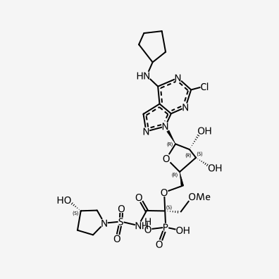 COC[C@@](OC[C@H]1O[C@@H](n2ncc3c(NC4CCCC4)nc(Cl)nc32)[C@H](O)[C@@H]1O)(C(=O)NS(=O)(=O)N1CC[C@H](O)C1)P(=O)(O)O